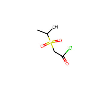 CC(C#N)S(=O)(=O)CC(=O)Cl